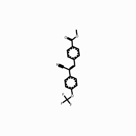 COC(=O)c1ccc(C=C(C#N)c2ccc(OC(F)(F)F)cc2)cc1